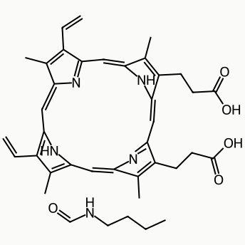 C=CC1=C(C)c2cc3[nH]c(cc4nc(cc5[nH]c(cc1n2)c(C)c5CCC(=O)O)C(CCC(=O)O)=C4C)c(C)c3C=C.CCCCNC=O